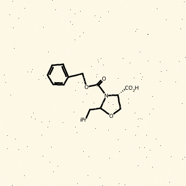 CC(C)CC1OC[C@@H](C(=O)O)N1C(=O)OCc1ccccc1